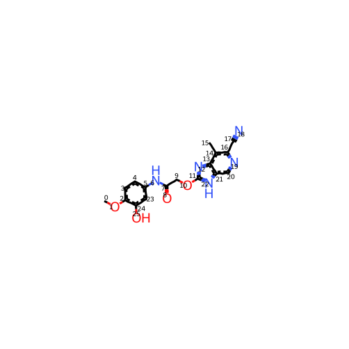 COc1ccc(NC(=O)COc2nc3c(C)c(C#N)ncc3[nH]2)cc1O